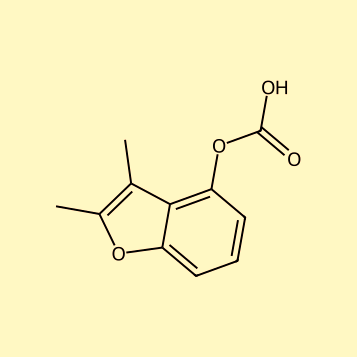 Cc1oc2cccc(OC(=O)O)c2c1C